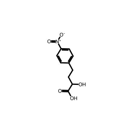 O=C(O)C(O)CCc1ccc([N+](=O)[O-])cc1